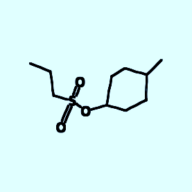 CCCS(=O)(=O)OC1CCC(C)CC1